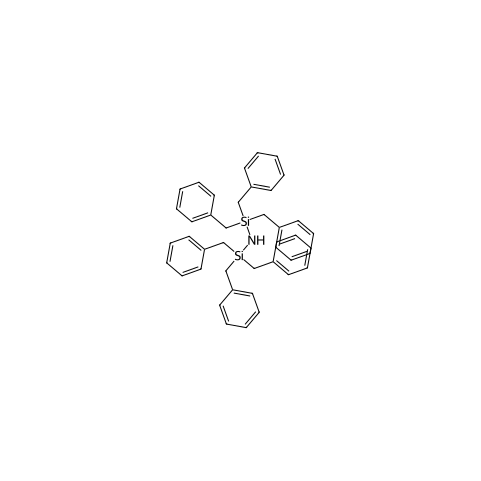 c1ccc(C[Si](Cc2ccccc2)(Cc2ccccc2)N[Si](Cc2ccccc2)(Cc2ccccc2)Cc2ccccc2)cc1